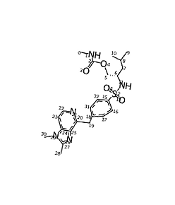 CNC(=O)OC[C@H](CC(C)C)NS(=O)(=O)c1ccc(Cc2nccc3c2nc(C)n3C)cc1